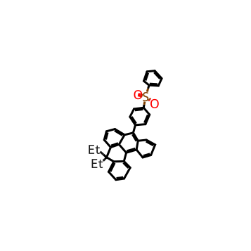 CCC1(CC)c2ccccc2-c2c3ccccc3c(-c3ccc(S(=O)(=O)c4ccccc4)cc3)c3cccc1c23